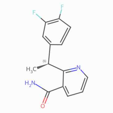 C[C@@H](c1ccc(F)c(F)c1)c1ncccc1C(N)=O